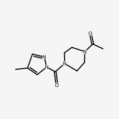 CC(=O)N1CCN(C(=O)n2cc(C)cn2)CC1